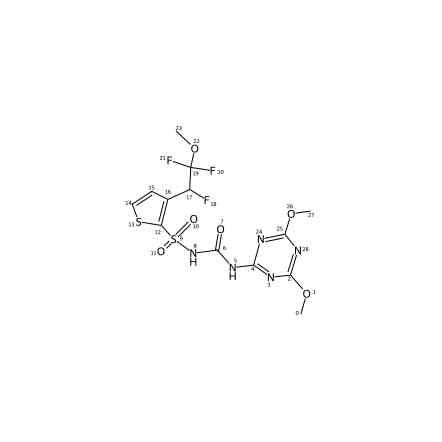 COc1nc(NC(=O)NS(=O)(=O)c2sccc2C(F)C(F)(F)OC)nc(OC)n1